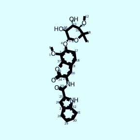 COc1c(O[C@@H]2OC(C)(C)[C@H](OC)[C@@H](O)[C@@H]2O)ccc2cc(NC(=O)c3cc4ccccc4[nH]3)c(=O)oc12